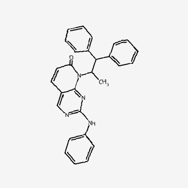 CC(C(c1ccccc1)c1ccccc1)n1c(=O)ccc2cnc(Nc3ccccc3)nc21